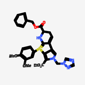 CCOC(=O)c1c2c(cn1Cn1cncn1)C1=CCC(C(=O)OCc3ccccc3)NC1=S2c1ccc(OC)c(OC)c1